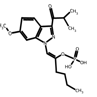 CCCCC(=Cn1nc(C(=O)C(C)C)c2ccc(OC)cc21)OP(=O)(O)O